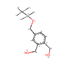 CC(C)(C)[Si](C)(C)OCc1ccc(CO)c(CO)c1